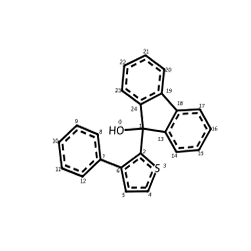 OC1(c2sccc2-c2ccccc2)c2ccccc2-c2ccccc21